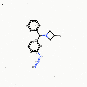 CC1CN(C(c2ccccc2)c2cccc(N=[N+]=[N-])c2)C1